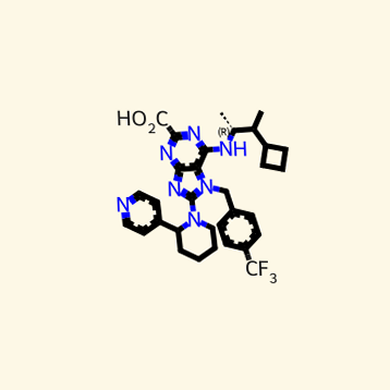 CC(C1CCC1)[C@@H](C)Nc1nc(C(=O)O)nc2nc(N3CCCCC3c3ccncc3)n(Cc3ccc(C(F)(F)F)cc3)c12